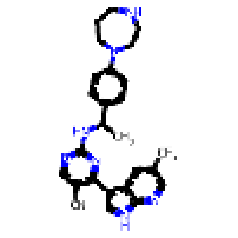 CC(Nc1ncc(C#N)c(-c2c[nH]c3ncc(C(F)(F)F)cc23)n1)c1ccc(N2CCCNCC2)cc1